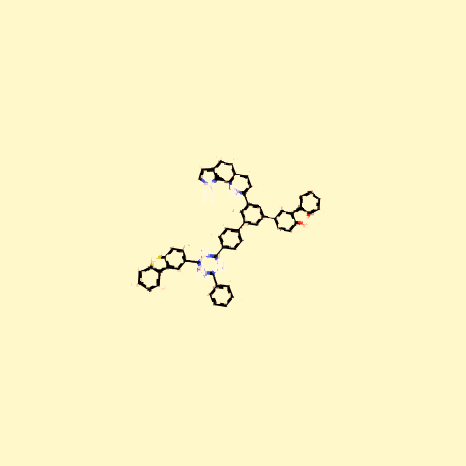 c1ccc(-c2nc(-c3ccc(-c4cc(-c5ccc6oc7ccccc7c6c5)cc(-c5ccc6ccc7cc[nH]c7c6n5)c4)cc3)nc(-c3ccc4sc5ccccc5c4c3)n2)cc1